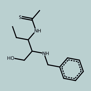 CCC(NC(C)=S)C(CO)NCc1ccccc1